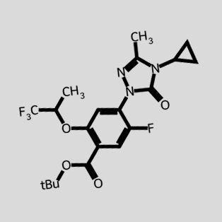 Cc1nn(-c2cc(OC(C)C(F)(F)F)c(C(=O)OC(C)(C)C)cc2F)c(=O)n1C1CC1